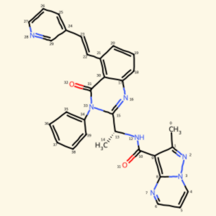 Cc1nn2cccnc2c1C(=O)N[C@H](C)c1nc2cccc(/C=C/c3cccnc3)c2c(=O)n1-c1ccccc1